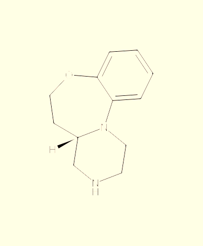 c1ccc2c(c1)OCC[C@H]1CNCCN21